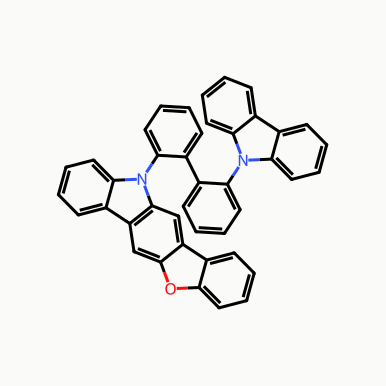 c1ccc(-n2c3ccccc3c3ccccc32)c(-c2ccccc2-n2c3ccccc3c3cc4oc5ccccc5c4cc32)c1